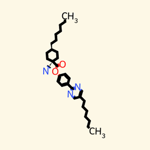 CCCCCCCc1cnc(-c2ccc(OC(=O)[C@]3(C#N)CC[C@H](CCCCCCC)CC3)cc2)nc1